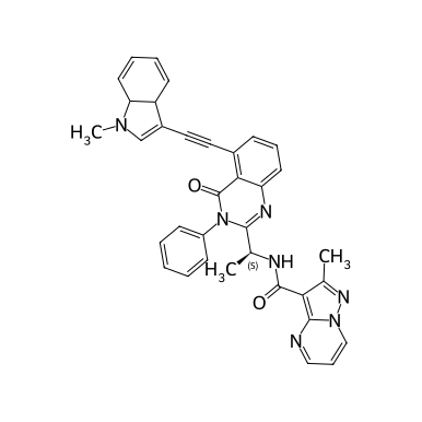 Cc1nn2cccnc2c1C(=O)N[C@@H](C)c1nc2cccc(C#CC3=CN(C)C4C=CC=CC34)c2c(=O)n1-c1ccccc1